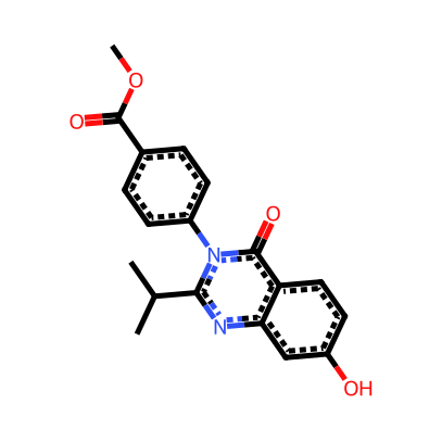 COC(=O)c1ccc(-n2c(C(C)C)nc3cc(O)ccc3c2=O)cc1